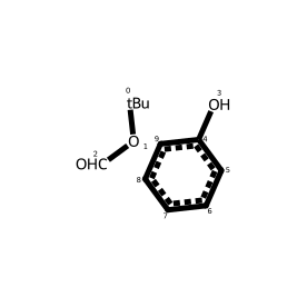 CC(C)(C)OC=O.Oc1ccccc1